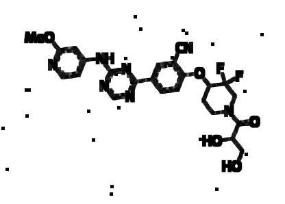 COc1cc(Nc2ncnc(-c3ccc(OC4CCN(C(=O)C(O)CO)CC4(F)F)c(C#N)c3)n2)ccn1